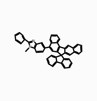 Cn1c(-c2ccccc2)nc2cc(-c3cc4c(c5ccccc35)-c3cc5ccccc5cc3C43c4ccccc4-c4ccccc43)ccc21